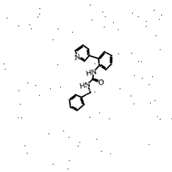 O=C(NCc1ccccc1)Nc1ccccc1-c1cccnc1